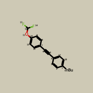 CCCCc1ccc(C#Cc2ccc(OC(F)F)cc2)cc1